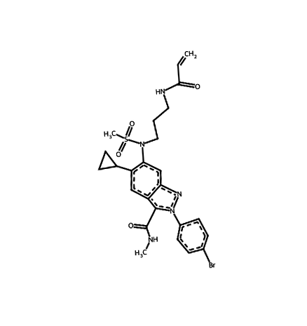 C=CC(=O)NCCCN(c1cc2nn(-c3ccc(Br)cc3)c(C(=O)NC)c2cc1C1CC1)S(C)(=O)=O